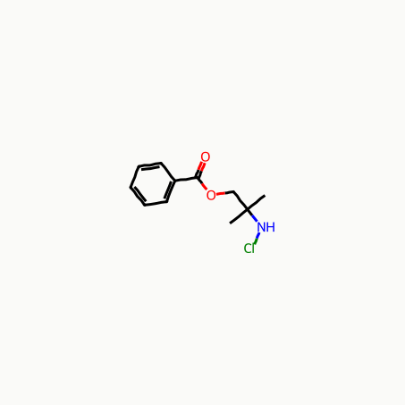 CC(C)(COC(=O)c1ccccc1)NCl